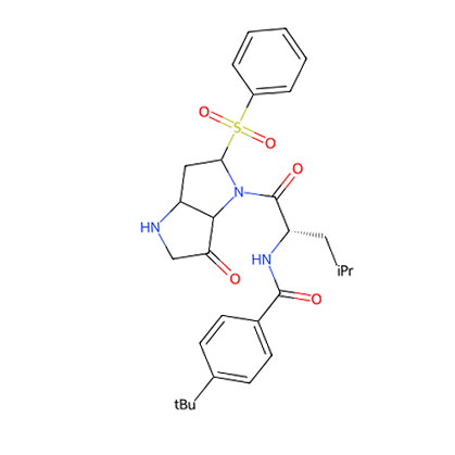 CC(C)C[C@H](NC(=O)c1ccc(C(C)(C)C)cc1)C(=O)N1C2C(=O)CNC2CC1S(=O)(=O)c1ccccc1